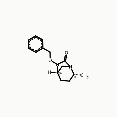 C[C@@H]1CC[C@H]2CN1C(=O)N2OCc1ccccc1